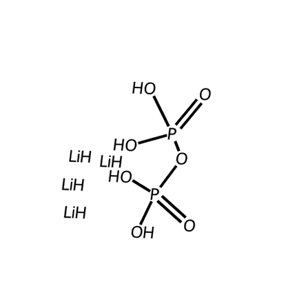 O=P(O)(O)OP(=O)(O)O.[LiH].[LiH].[LiH].[LiH]